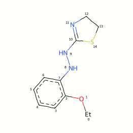 CCOc1ccccc1NNC1=NCCS1